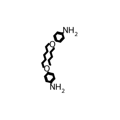 CCCCCCC.Nc1ccc(OCCCCCOc2ccc(N)cc2)cc1